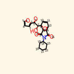 O=C(c1ccco1)C(O)C12C=CC(O1)C1C(=O)N(C3CCCCC3)C(=O)C12